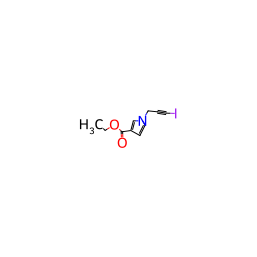 CCOC(=O)c1ccn(CC#CI)c1